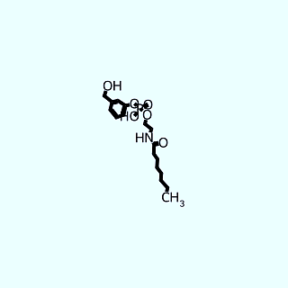 CCCCCCCC(=O)NCCOP(=O)(O)Oc1cccc(CO)c1